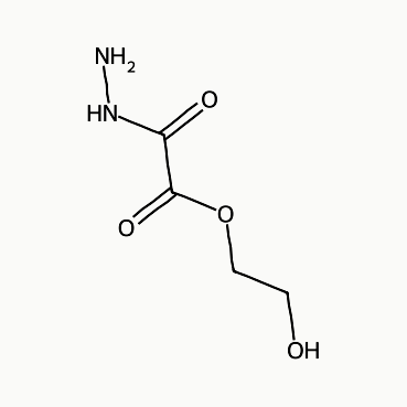 NNC(=O)C(=O)OCCO